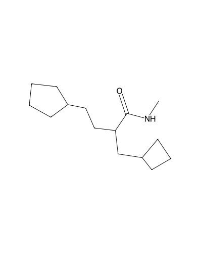 CNC(=O)C(CCC1CCCC1)CC1CCC1